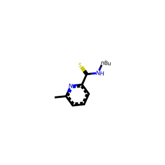 CCCCNC(=S)c1cccc(C)n1